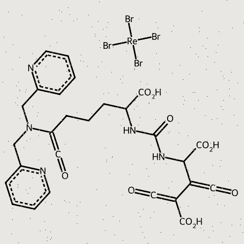 O=C=C(C(=O)O)C(=C=O)C(NC(=O)NC(CCCC(=C=O)N(Cc1ccccn1)Cc1ccccn1)C(=O)O)C(=O)O.[Br][Re]([Br])([Br])[Br]